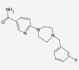 NC(=O)c1ccc(N2CCN(Cc3cccc(F)c3)CC2)nc1